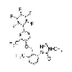 Cc1cc(-c2c(F)c(F)c(F)c(F)c2F)ccc1OCc1c(C)cccc1-n1nnn(C)c1=O